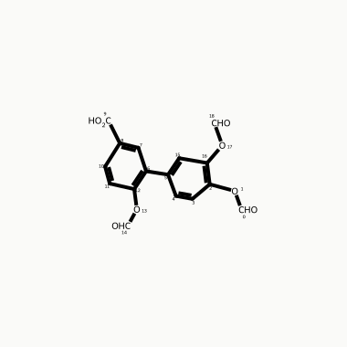 O=COc1ccc(-c2cc(C(=O)O)ccc2OC=O)cc1OC=O